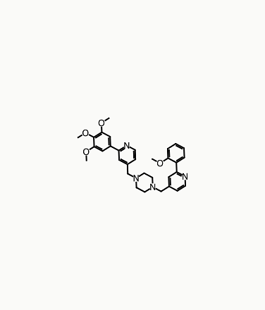 COc1ccccc1-c1cc(CN2CCN(Cc3ccnc(-c4cc(OC)c(OC)c(OC)c4)c3)CC2)ccn1